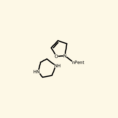 C1CNCCN1.CCCCCN1CC=CO1